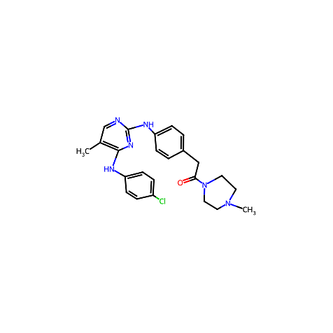 Cc1cnc(Nc2ccc(CC(=O)N3CCN(C)CC3)cc2)nc1Nc1ccc(Cl)cc1